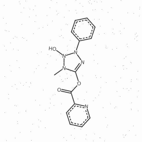 CN1C(OC(=O)c2ccccn2)=NN(c2ccccc2)N1O